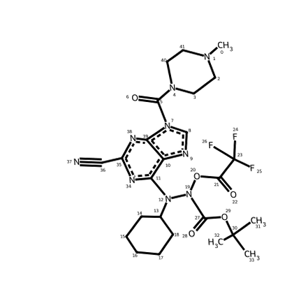 CN1CCN(C(=O)n2cnc3c(N(C4CCCCC4)N(OC(=O)C(F)(F)F)C(=O)OC(C)(C)C)nc(C#N)nc32)CC1